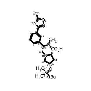 CCc1nc(-c2cccc([C@@H](CN3CC[C@H](O[Si](C)(C)C(C)(C)C)C3)N(C)C(=O)O)c2)no1